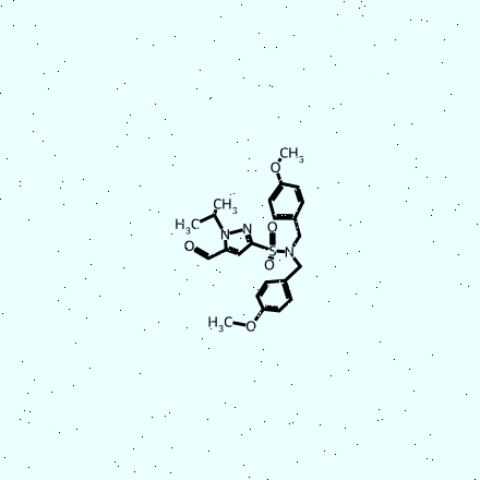 COc1ccc(CN(Cc2ccc(OC)cc2)S(=O)(=O)c2cc(C=O)n(C(C)C)n2)cc1